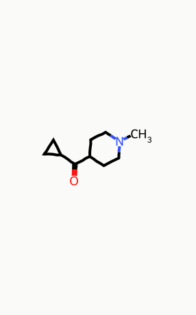 CN1CCC(C(=O)C2CC2)CC1